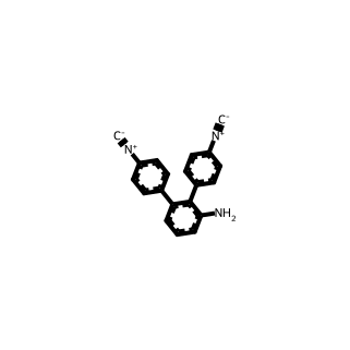 [C-]#[N+]c1ccc(-c2cccc(N)c2-c2ccc([N+]#[C-])cc2)cc1